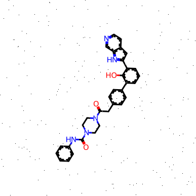 O=C(Cc1ccc(-c2cccc(-c3cc4ccncc4[nH]3)c2O)cc1)N1CCN(C(=O)Nc2ccccc2)CC1